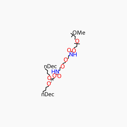 CCCCCCCCCCCCCCOC[C@@H](COC(=O)NCCOCCOCCNC(=O)OCCC(C)(C)OCCC(C)(C)OC)OCCCCCCCCCCCCCC